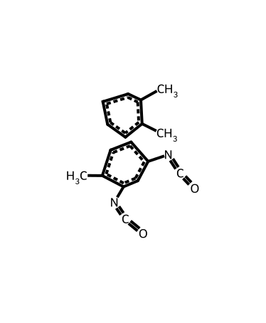 Cc1ccc(N=C=O)cc1N=C=O.Cc1ccccc1C